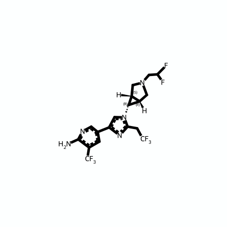 Nc1ncc(-c2cn([C@@H]3[C@@H]4CN(CC(F)F)C[C@@H]43)c(CC(F)(F)F)n2)cc1C(F)(F)F